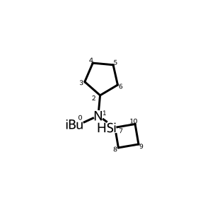 CCC(C)N(C1CCCC1)[SiH]1CCC1